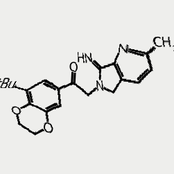 Cc1ccc2c(n1)C(=N)N(CC(=O)c1cc3c(c(C(C)(C)C)c1)OCCO3)C2